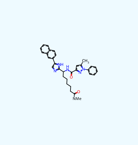 CNC(=O)CCCCCC(NC(=O)c1cc(C)n(-c2ccccc2)n1)c1ncc(-c2ccc3ccccc3c2)[nH]1